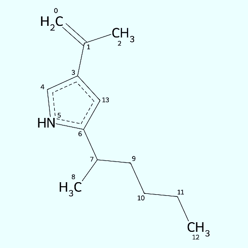 C=C(C)c1c[nH]c(C(C)CCCC)c1